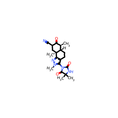 C[C@@H]1C(=O)C(C#N)C[C@]2(C)c3nn(C)c(N4C(=O)NC(C)(C)C4=O)c3CC[C@@H]12